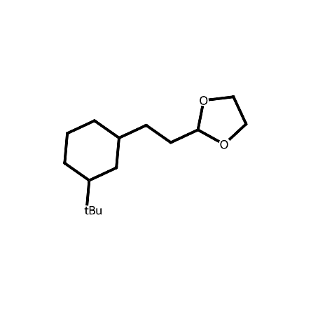 CC(C)(C)C1CCCC(CCC2OCCO2)C1